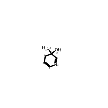 CC1(O)C=NC=CC1